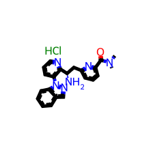 CN(C)C(=O)c1cccc(C[C@H](N)c2ncccc2-n2ncc3ccccc32)n1.Cl